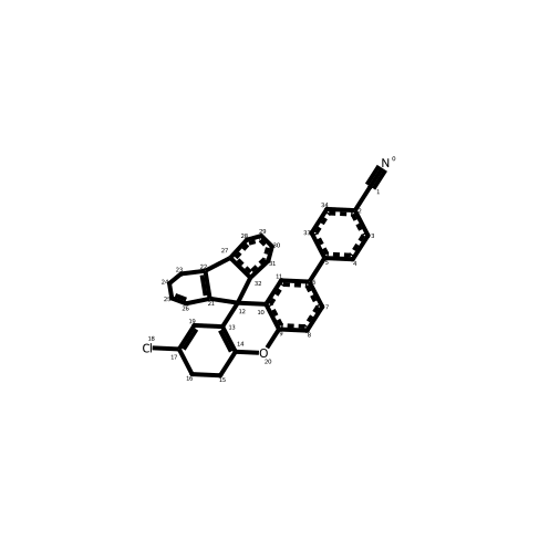 N#Cc1ccc(-c2ccc3c(c2)C2(C4=C(CCC(Cl)=C4)O3)C3=C(CCC=C3)c3ccccc32)cc1